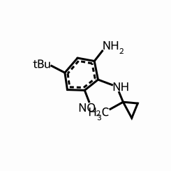 CC1(Nc2c(N)cc(C(C)(C)C)cc2[N+](=O)[O-])CC1